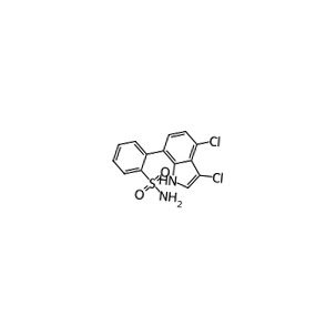 NS(=O)(=O)c1ccccc1-c1ccc(Cl)c2c(Cl)c[nH]c12